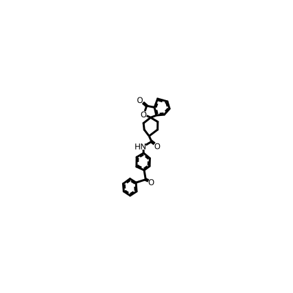 O=C(c1ccccc1)c1ccc(NC(=O)C2CCC3(CC2)OC(=O)c2ccccc23)cc1